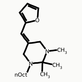 CCCCCCCCN1C/C(=C/c2ccco2)CN(C)C1(C)C